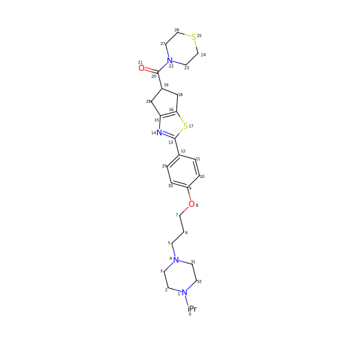 CC(C)N1CCN(CCCOc2ccc(-c3nc4c(s3)CC(C(=O)N3CCSCC3)C4)cc2)CC1